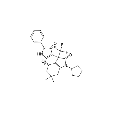 Cc1[nH]n(-c2ccccc2)c(=O)c1C1(C(F)(F)F)C(=O)N(C2CCCC2)C2=C1C(=O)CC(C)(C)C2